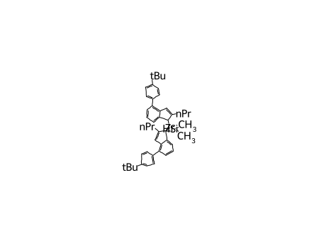 CCCC1=Cc2c(-c3ccc(C(C)(C)C)cc3)cccc2[CH]1[Zr]([CH]1C(CCC)=Cc2c(-c3ccc(C(C)(C)C)cc3)cccc21)[SiH](C)C